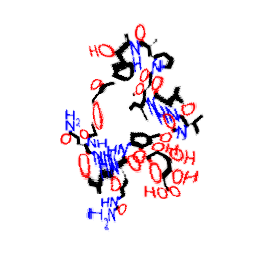 CC[C@H](C)[C@@H]([C@@H](CC(=O)N1CCC[C@H]1C[C@@H](C)C(=O)N[C@H](C)[C@@H](O)c1ccccc1)OC)N(C)C(=O)[C@@H](NC(=O)[C@H](C(C)C)N(C)C(=O)OCc1ccc(NC(=O)[C@H](CCCNC(N)=O)NC(=O)[C@@H](NC(=O)[C@H](CCC(N)=O)NC(=O)CCOCCC(C)=O)C(C)C)c(O[C@@H]2O[C@H](C(=O)O)[C@@H](O)[C@H](O)[C@H]2O)c1)C(C)C